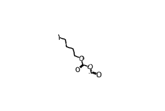 O=[C]OC(=O)OCCCCI